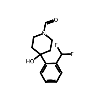 O=CN1CCC(O)(c2ccccc2C(F)F)CC1